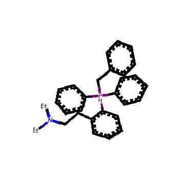 CCN(CC)CCc1ccccc1[PH](Cc1ccccc1)(c1ccccc1)c1ccccc1